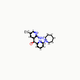 CCc1cnc(N)c(C(=O)c2cccc(N3CCCCCC3)n2)c1